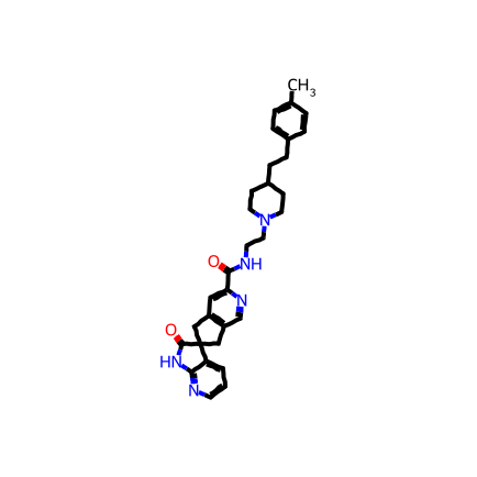 Cc1ccc(CCC2CCN(CCNC(=O)c3cc4c(cn3)CC3(C4)C(=O)Nc4ncccc43)CC2)cc1